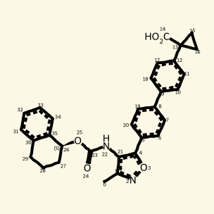 Cc1noc(-c2ccc(-c3ccc(C4(C(=O)O)CC4)cc3)cc2)c1NC(=O)O[C@H]1CCCc2ccccc21